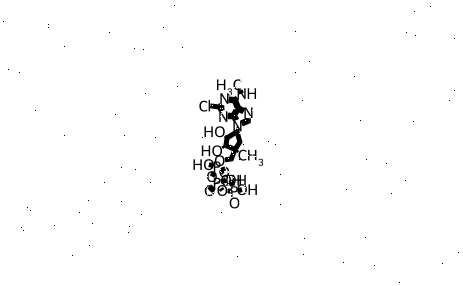 CNc1nc(Cl)nc2c1ncn2[C@@H]1C[C@](C)(COP(=O)(O)OP(=O)(O)OP(=O)(O)O)[C@@H](O)[C@H]1O